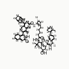 Cc1ncsc1-c1ccc([C@H](C)NC(=O)[C@@H]2C[C@@H](O)CN2C(=O)[C@@H](NC(=O)CCCCN2C[C@@H](C)[C@H]2COc2nc(N3CC4CCC(C3)N4)c3cnc(-c4[nH]c(=O)cc5ccccc45)c(F)c3n2)C(C)(C)C)cc1